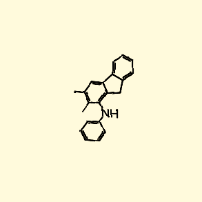 Cc1cc2c(c(Nc3ccccc3)c1C)Cc1ccccc1-2